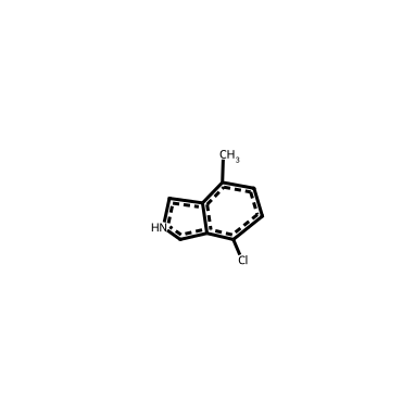 Cc1ccc(Cl)c2c[nH]cc12